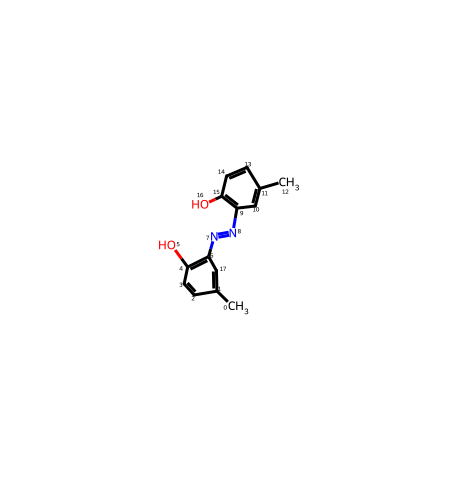 Cc1ccc(O)c(N=Nc2cc(C)ccc2O)c1